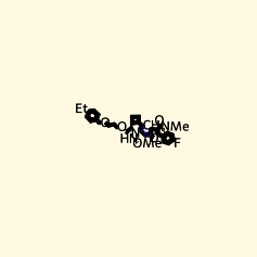 CCc1ccc(COCCCOCCN(NOC)C(/C=C2\CC(C(=O)NC)=C(c3ccc(F)cc3)O2)=C(/C)C2CCC2)cc1